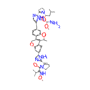 CON[C@H](C(=O)N1CCC[C@H]1c1ncc(-c2ccc3c(c2)OCC2=C3C(C)Oc3cc(-c4cnc([C@@H]5CCCN5C(CC(C)C)OC(N)OC)[nH]4)ccc32)[nH]1)C(C)C